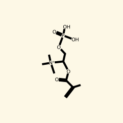 C=C(C)C(=O)OC(COP(=O)(O)O)[N+](C)(C)C